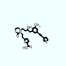 Cc1cc(C#Cc2ccsc2)cc(CC(O)CCN2CCSC(=O)N2CCc2ccc(C(=O)O)s2)c1